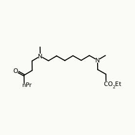 CCCC(=O)CCN(C)CCCCCCN(C)CCC(=O)OCC